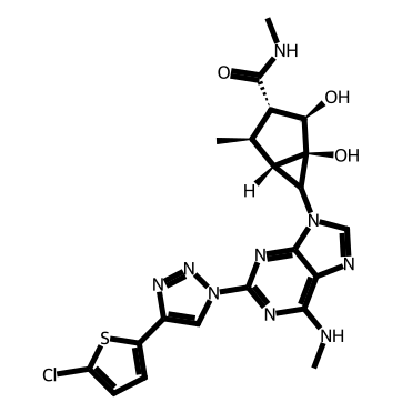 CNC(=O)[C@H]1[C@H](C)[C@H]2C(n3cnc4c(NC)nc(-n5cc(-c6ccc(Cl)s6)nn5)nc43)[C@@]2(O)[C@@H]1O